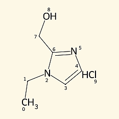 CCn1ccnc1CO.Cl